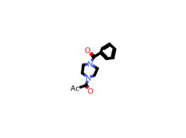 CC(=O)C(=O)N1CCN(C(=O)c2ccccc2)CC1